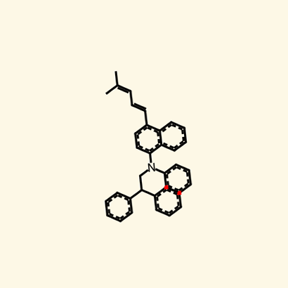 CC(C)=CC=Cc1ccc(N(CC(c2ccccc2)c2ccccc2)c2ccccc2)c2ccccc12